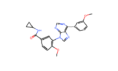 COc1cccc(-c2ncnc3c2ncn3-c2cc(C(=O)NC3CC3)ccc2OC)c1